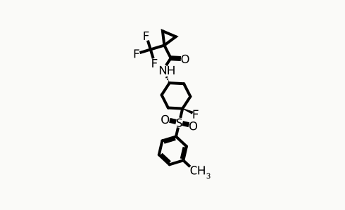 Cc1cccc(S(=O)(=O)[C@]2(F)CC[C@H](NC(=O)C3(C(F)(F)F)CC3)CC2)c1